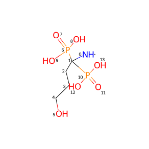 [NH]C(CCCO)(P(=O)(O)O)P(=O)(O)O